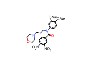 COc1ccc(N(CCCN2CCOCC2)C(=O)c2ccc([N+](=O)[O-])c([N+](=O)[O-])c2)cc1OC